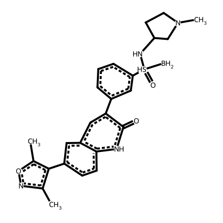 B[SH](=O)(NC1CCN(C)C1)c1cccc(-c2cc3cc(-c4c(C)noc4C)ccc3[nH]c2=O)c1